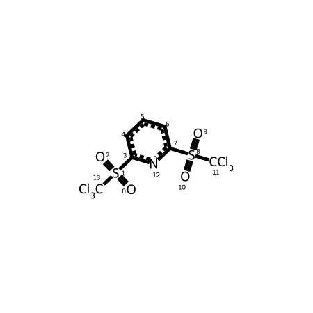 O=S(=O)(c1cccc(S(=O)(=O)C(Cl)(Cl)Cl)n1)C(Cl)(Cl)Cl